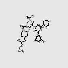 CCOC(=O)ON1CCN(C(=O)[C@H](CCC(=O)O)NC(=O)c2cc(-c3cccc(F)c3)nc(-c3ccccc3)n2)CC1